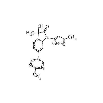 Cc1cc(N2C(=O)C(C)(C)c3ccc(-c4cnc(C)nc4)cc32)[nH]n1